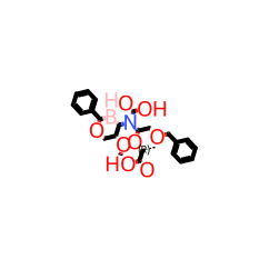 COC1COC(c2ccccc2)BC1N(C(=O)O)C(COCc1ccccc1)O[C@H](C)C(=O)O